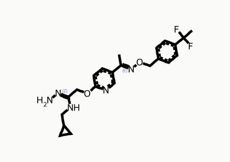 C/C(=N\OCc1ccc(C(C)(F)F)cc1)c1ccc(OC/C(=N/N)NCC2CC2)nc1